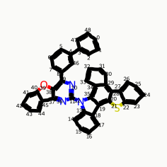 c1ccc(-c2cccc(-c3nc(-n4c5ccccc5c5c6sc7ccccc7c6c6ccccc6c54)nc4c3oc3ccccc34)c2)cc1